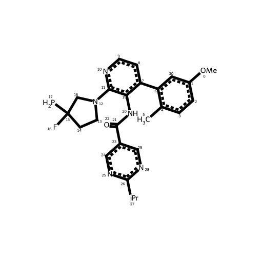 COc1ccc(C)c(-c2ccnc(N3CCC(F)(P)C3)c2NC(=O)c2cnc(C(C)C)nc2)c1